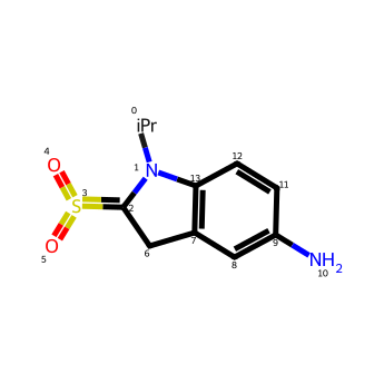 CC(C)N1C(=S(=O)=O)Cc2cc(N)ccc21